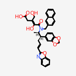 C[C@H]([C@H](CC=Cc1nc2ccccc2o1)c1ccc2c(c1)OCO2)N(Cc1ccc2ccccc2c1)C(=O)C(O)=C(CO)CC(=O)O